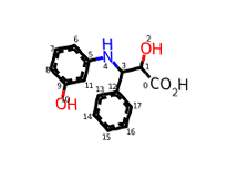 O=C(O)C(O)C(Nc1cccc(O)c1)c1ccccc1